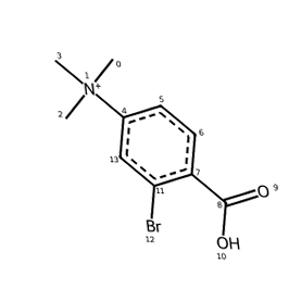 C[N+](C)(C)c1ccc(C(=O)O)c(Br)c1